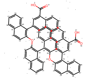 O=C(O)c1cc(-c2c(Oc3ccc4ccccc4c3-c3c(Oc4ccc5ccccc5c4-c4cc(C(=O)O)c5ccccc5c4)ccc4ccccc34)ccc3ccccc23)cc2ccccc12